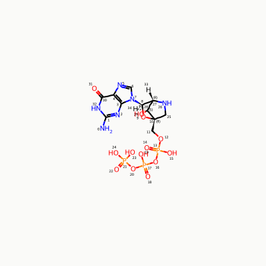 Nc1nc2c(ncn2[C@@H]2O[C@@]3(COP(=O)(O)OP(=O)(O)OP(=O)(O)O)CN[C@@H]2[C@@H]3O)c(=O)[nH]1